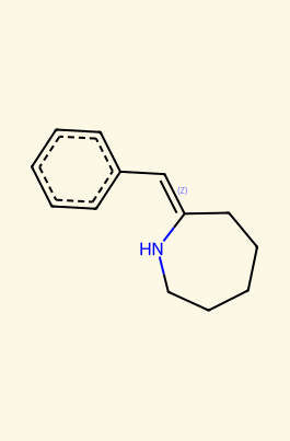 C(=C1\CCCCCN1)/c1ccccc1